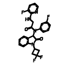 O=C1C(N(C(=O)CNc2ncccc2F)c2cccc(F)c2)c2ccccc2N1C1CC(F)(F)C1